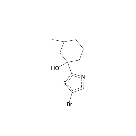 CC1(C)CCCC(O)(c2ncc(Br)s2)C1